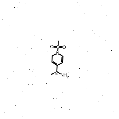 C[C@H](N)C1=CCN(S(C)(=O)=O)C=C1